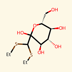 CCSC(SCC)C1(O)O[C@H](CO)[C@@H](O)[C@H](O)[C@H]1O